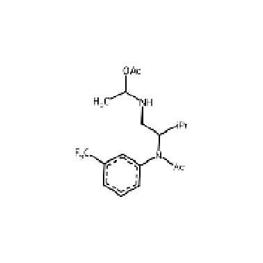 CC(=O)OC(C)NCC(C(C)C)N(C(C)=O)c1cccc(C(F)(F)F)c1